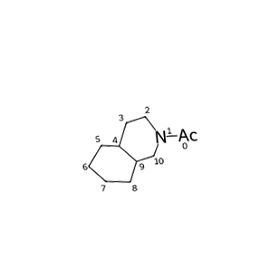 CC(=O)N1CCC2CCCCC2C1